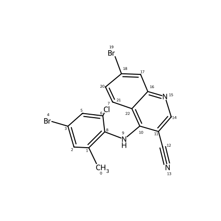 Cc1cc(Br)cc(Cl)c1Nc1c(C#N)cnc2cc(Br)ccc12